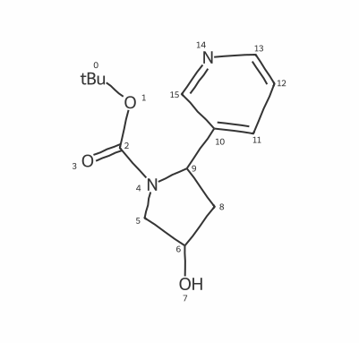 CC(C)(C)OC(=O)N1CC(O)CC1c1cccnc1